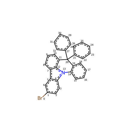 Brc1ccc2c(c1)c1cccc3c1n2-c1ccccc1C3(c1ccccc1)c1ccccc1